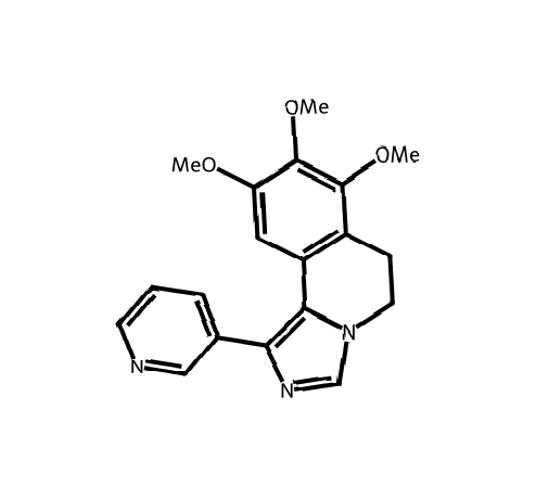 COc1cc2c(c(OC)c1OC)CCn1cnc(-c3cccnc3)c1-2